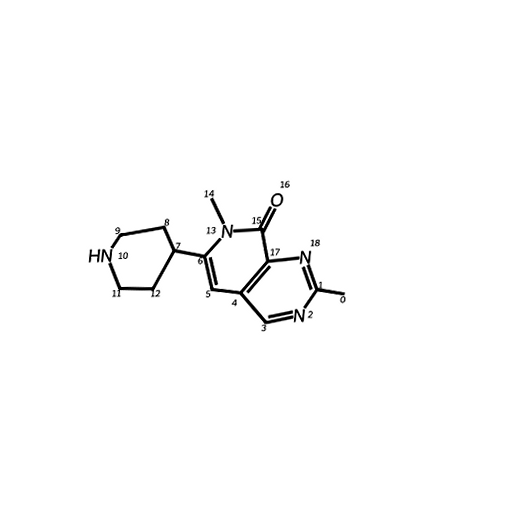 Cc1ncc2cc(C3CCNCC3)n(C)c(=O)c2n1